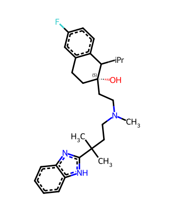 CC(C)C1c2ccc(F)cc2CC[C@]1(O)CCN(C)CCC(C)(C)c1nc2ccccc2[nH]1